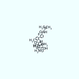 Cc1ccc(-c2cccc(C(=O)NCCN(C)C)c2F)c2c1C(=O)C1=C(O)[C@]3(C)C(=O)C(C(N)=O)=C(O)C[C@]3(N)C[C@@H]1C2